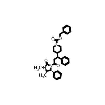 C[C@@H]1[C@@H](c2ccccc2)N(C(=O)CC(c2ccccc2)C2CCN(C(=O)OCc3ccccc3)CC2)C(=O)N1C